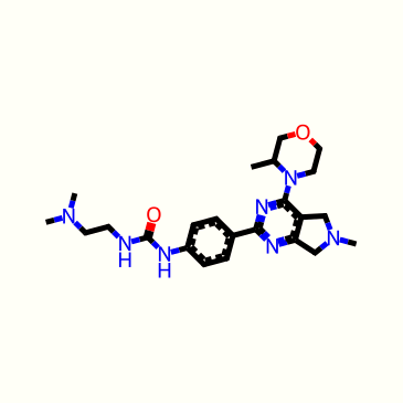 CC1COCCN1c1nc(-c2ccc(NC(=O)NCCN(C)C)cc2)nc2c1CN(C)C2